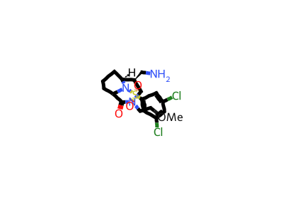 COCCN1C[C@H](CN)[C@@H]2CCCC(C1=O)N2S(=O)(=O)c1cc(Cl)cc(Cl)c1